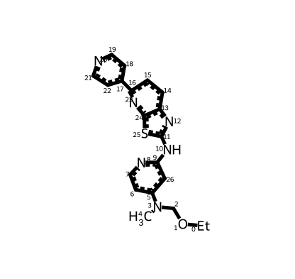 CCOCN(C)c1ccnc(Nc2nc3ccc(-c4ccncc4)nc3s2)c1